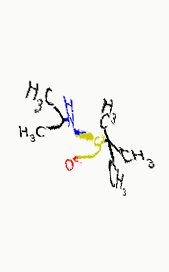 CC(C)N[S+]([O-])C(C)(C)C